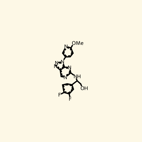 COc1ccc(-n2nnc3cnc(NC(CO)c4ccc(F)c(F)c4)nc32)cn1